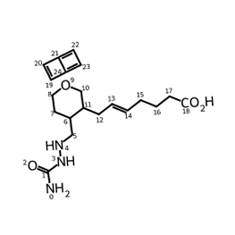 NC(=O)NNCC1CCOCC1CC=CCCCC(=O)O.c1cc2ccc1-2